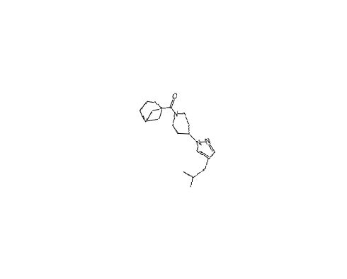 CC(C)Cc1cnn(C2CCN(C(=O)C34CCCC(C3)C4)CC2)c1